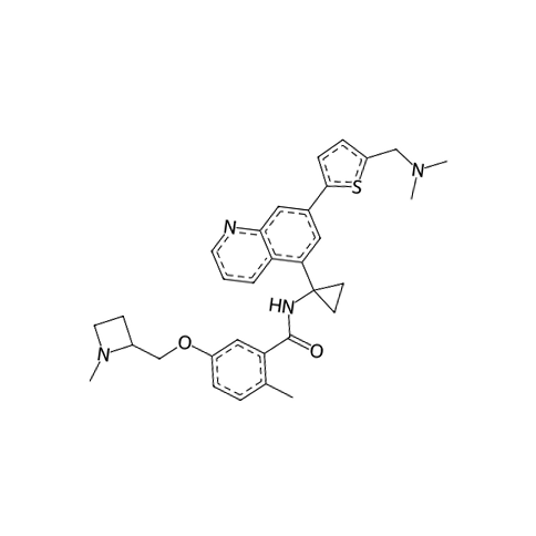 Cc1ccc(OCC2CCN2C)cc1C(=O)NC1(c2cc(-c3ccc(CN(C)C)s3)cc3ncccc23)CC1